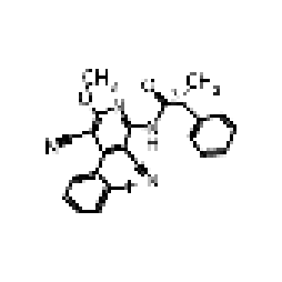 COc1nc(NC(=O)[C@H](C)c2ccccc2)c(C#N)c(-c2ccccc2F)c1C#N